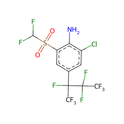 Nc1c(Cl)cc(C(F)(C(F)(F)F)C(F)(F)C(F)(F)F)cc1S(=O)(=O)C(F)F